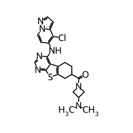 CN(C)C1CN(C(=O)C2CCc3c(sc4ncnc(Nc5ccn6nccc6c5Cl)c34)C2)C1